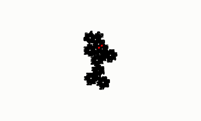 CC1(C)c2ccccc2-c2c(-c3ccccc3N(c3ccc(-c4ccc5c(c4)c4ccccc4n5-c4ccccc4)cc3)c3cccc4c3C(C)(C)c3ccccc3-4)cccc21